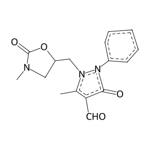 Cc1c(C=O)c(=O)n(-c2ccccc2)n1CC1CN(C)C(=O)O1